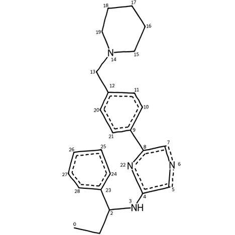 CCC(Nc1cncc(-c2ccc(CN3CCCCC3)cc2)n1)c1ccccc1